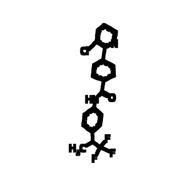 CC(c1ccc(NC(=O)c2ccc(-c3ncccc3Cl)cc2)cc1)C(F)(F)F